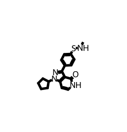 CNSc1ccc(-c2nn(C3CCCC3)c3cc[nH]c(=O)c23)cc1